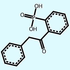 O=C(Cc1ccccc1)c1ccccc1P(=O)(O)O